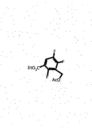 CCOC(=O)c1cc(F)c(F)c(COC(C)=O)c1F